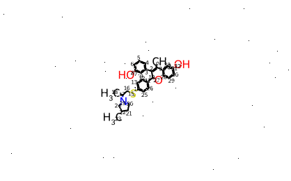 CC1=C(c2cccc(O)c2)C(c2ccc(SCC(C)N3CCC(C)C3)cc2)Oc2ccc(O)cc21